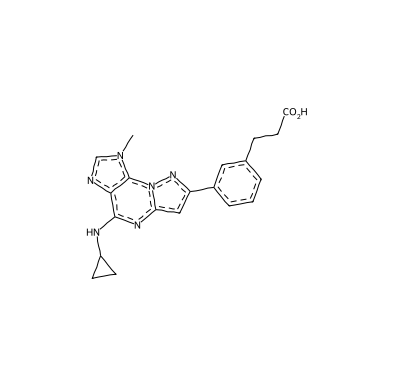 Cn1cnc2c(NC3CC3)nc3cc(-c4cccc(CCC(=O)O)c4)nn3c21